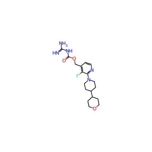 N=C(N)NC(=O)OCc1ccnc(N2CCC(C3CCOCC3)CC2)c1F